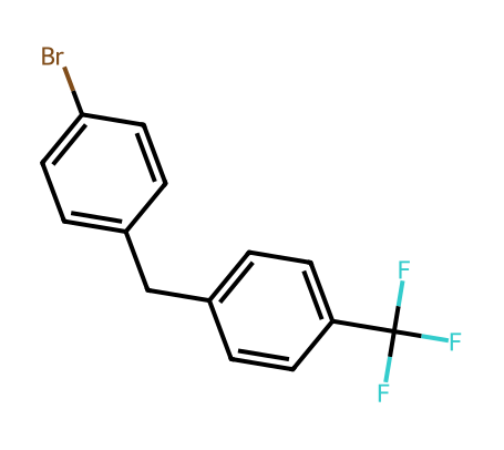 FC(F)(F)c1ccc(Cc2ccc(Br)cc2)cc1